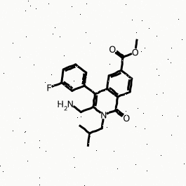 COC(=O)c1ccc2c(=O)n(CC(C)C)c(CN)c(-c3cccc(F)c3)c2c1